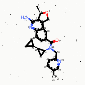 C[C@H]1OCc2c1c(N)nc1ccc(C(=O)N(Cc3ccc(C(F)(F)F)cn3)[C@H]3C[C@H]3C3CC3)cc21